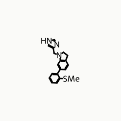 CSc1ccccc1-c1ccc2c(c1)N(Cc1c[nH]cn1)CC2